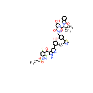 CCCS(=O)(=O)Nc1ccc(F)c(C(=O)c2c[nH]c3ncc(-c4ccc(Bc5cc(-c6scnc6C)ccc5CNC(=O)[C@@H]5C[C@@H](O)CN5C(=O)[C@H](C(C)C)N5Cc6ccccc6C5=O)cc4)cc23)c1F